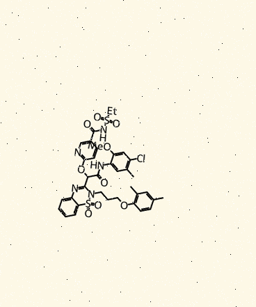 CCS(=O)(=O)NC(=O)c1ccc(OC(C(=O)Nc2cc(C)c(Cl)cc2OC)C2=Nc3ccccc3S(=O)(=O)N2CCCOc2ccc(C)cc2C)nc1